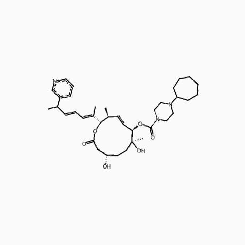 C/C(=C\C=C\C(C)c1cccnc1)[C@H]1OC(=O)C[C@@H](O)CC[C@](C)(O)[C@H](OC(=O)N2CCN(C3CCCCCC3)CC2)/C=C/[C@@H]1C